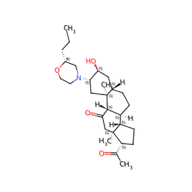 CCC[C@@H]1CN([C@H]2C[C@@]3(C)[C@@H](CC[C@H]4[C@@H]5CC[C@H](C(C)=O)[C@@]5(C)CC(=O)[C@@H]43)C[C@@H]2O)CCO1